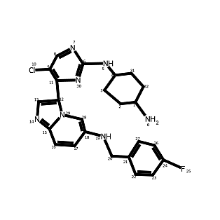 NC1CCC(Nc2ncc(Cl)c(-c3cnc4ccc(NCc5ccc(F)cc5)cn34)n2)CC1